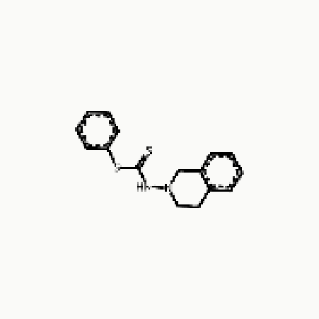 S=C(NN1CCc2ccccc2C1)Sc1ccccc1